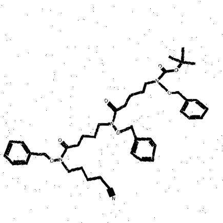 CC(C)(C)OC(=O)N(CCCCC(=O)N(CCCCC(=O)N(CCCCC#N)OCc1ccccc1)OCc1ccccc1)OCc1ccccc1